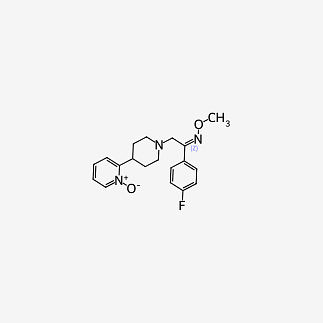 CO/N=C(\CN1CCC(c2cccc[n+]2[O-])CC1)c1ccc(F)cc1